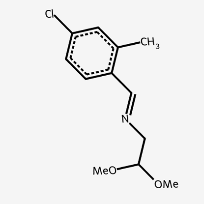 COC(C/N=C/c1ccc(Cl)cc1C)OC